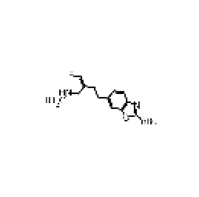 CCCCc1nc2ccc(CCC(=CF)CNC(=O)O)cc2o1